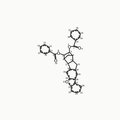 O=C(OC1C2CC(C1OC(=O)c1ccccc1)C1c3cc4oc5ccccc5c4cc3CC21)c1ccccc1